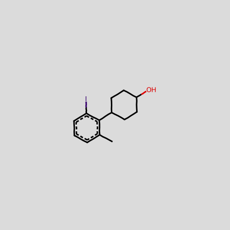 Cc1cccc(I)c1C1CCC(O)CC1